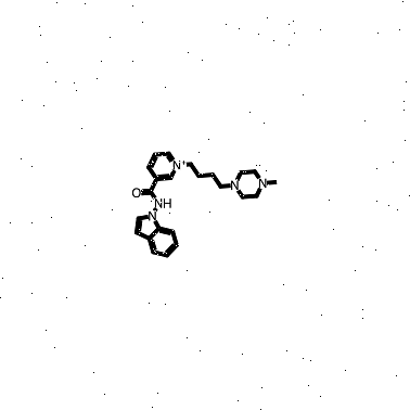 CN1CCN(CCCC[n+]2cccc(C(=O)Nn3ccc4ccccc43)c2)CC1